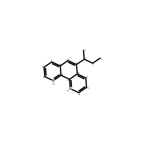 CCC(C)c1cc2cccnc2c2ncccc12